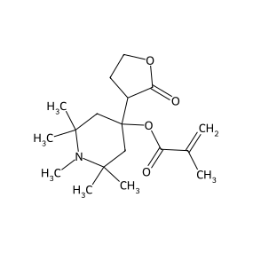 C=C(C)C(=O)OC1(C2CCOC2=O)CC(C)(C)N(C)C(C)(C)C1